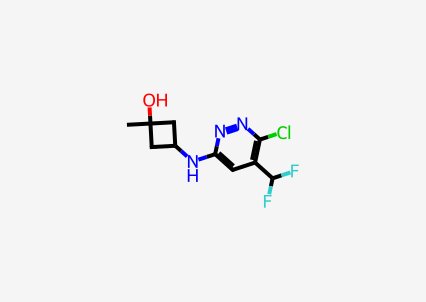 CC1(O)CC(Nc2cc(C(F)F)c(Cl)nn2)C1